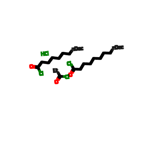 CCC(=O)Cl.CCCCCCCCCCCCCCCCC(=O)Cl.CCCCCCCCCCCCCCCCCC(=O)Cl.Cl